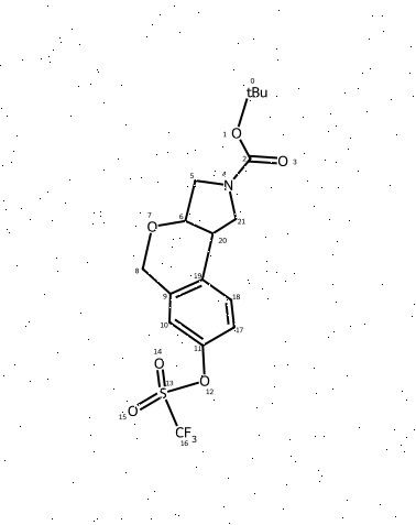 CC(C)(C)OC(=O)N1CC2OCc3cc(OS(=O)(=O)C(F)(F)F)ccc3C2C1